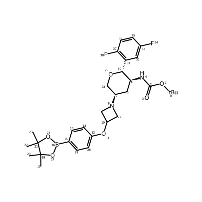 CC(C)(C)OC(=O)N[C@H]1C[C@@H](N2CC(Oc3ccc(B4OC(C)(C)C(C)(C)O4)cc3)C2)CO[C@@H]1c1cc(F)ccc1F